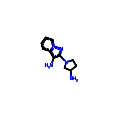 Nc1c(N2CCC(N)C2)nn2ccccc12